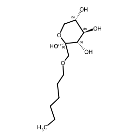 CCCCCCOC[C@@]1(O)OC[C@H](O)[C@@H](O)[C@@H]1O